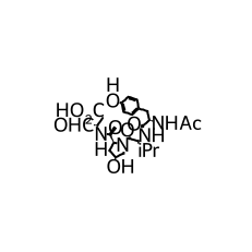 CC(=O)N[C@@H](Cc1ccc(O)cc1)C(=O)N[C@H](C(=O)N1C[C@H](O)C[C@H]1C(=O)N[C@H](C=O)CC(=O)O)C(C)C